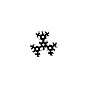 Cc1c(C(C)(C)C)cc(-c2c(C)c(-c3cc(C(C)(C)C)c(C)c(C(C)(C)C)c3)c(C)c(-c3cc(C(C)(C)C)c(C)c(C(C)(C)C)c3)c2C)cc1C(C)(C)C